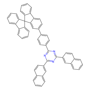 c1ccc2c(c1)-c1ccccc1C21c2ccccc2-c2ccc(-c3ccc(-c4nc(-c5ccc6ccccc6c5)nc(-c5ccc6ccccc6c5)n4)cc3)cc21